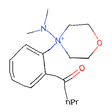 CCCC(=O)c1ccccc1[N+]1(N(C)C)CCOCC1